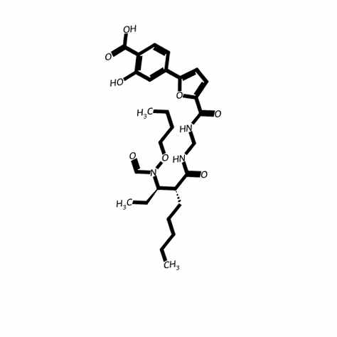 CCCCC[C@@H](C(=O)NCNC(=O)c1ccc(-c2ccc(C(=O)O)c(O)c2)o1)[C@@H](CC)N(C=O)OCCCC